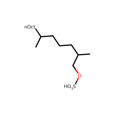 CCCCCCCCC(C)CCCC(C)COS(=O)(=O)O